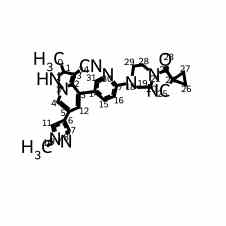 CC1NN2C=C(c3cnn(C)c3)C=C(c3ccc(N4CCN(C(=O)C5(C#N)CC5)CC4)nc3)C2=C1C#N